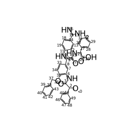 COC(C(=O)Nc1cc([C@H](Nc2ccc(C(=N)N)cc2)C(=O)NC(C(=O)O)c2ccccc2)ccc1OCc1ccccc1)c1ccccc1